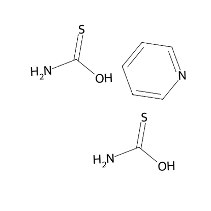 NC(O)=S.NC(O)=S.c1ccncc1